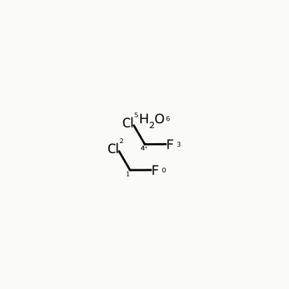 FCCl.F[C]Cl.O